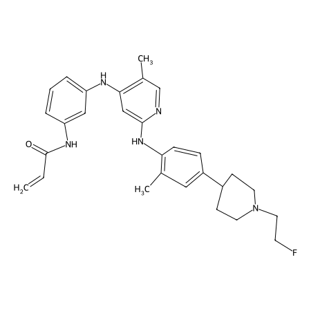 C=CC(=O)Nc1cccc(Nc2cc(Nc3ccc(C4CCN(CCF)CC4)cc3C)ncc2C)c1